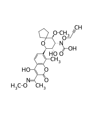 C#CCON(C(=O)O)[C@@H]1[C@H](O)[C@@H](c2ccc3c(O)c(C(C)=NOC)c(=O)oc3c2C)OC2(CCCC2)[C@H]1OC